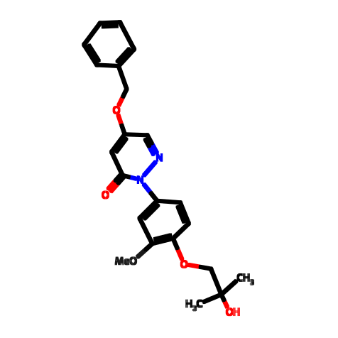 COc1cc(-n2ncc(OCc3ccccc3)cc2=O)ccc1OCC(C)(C)O